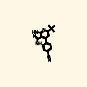 CC(C)(C)c1cc(-c2ccc(C#N)cc2)c2c(N)n[nH]c2n1